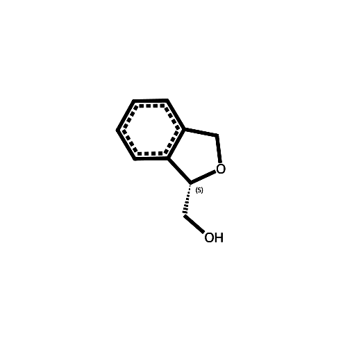 OC[C@H]1OCc2ccccc21